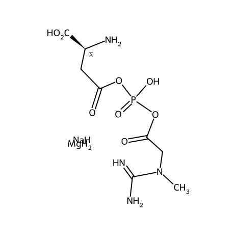 CN(CC(=O)OP(=O)(O)OC(=O)C[C@H](N)C(=O)O)C(=N)N.[MgH2].[NaH]